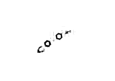 CC(C)(C)OC(=O)N[C@H]1CC[C@H](CNc2ccc(N3CC4CC(C3)O4)c(F)c2)CC1